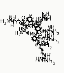 N=C(N)NCCC[C@@H](N)C(=O)Nc1cccc(NC(=O)c2cc(C(=O)Nc3cccc(NC(=O)[C@H](N)CCCNC(=N)N)c3SCCNC(=N)N)c(OCNC(=N)N)cc2OCNC(=N)N)c1SCCNC(=N)N